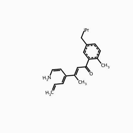 C=C/C=C(\C=C/N)C(/C)=C/C(=O)c1cc(CC(C)C)ccc1C